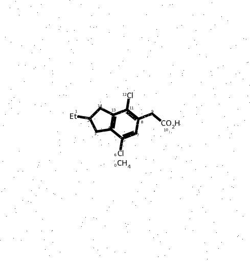 C.CCC1Cc2c(Cl)cc(CC(=O)O)c(Cl)c2C1